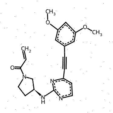 C=CC(=O)N1CC[C@H](Nc2nccc(C#Cc3cc(OC)cc(OC)c3)n2)C1